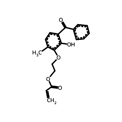 C=CC(=O)OCCOc1c(C)ccc(C(=O)c2ccccc2)c1O